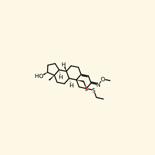 CCSSC[C@]12CC/C(=N/OC)C=C1CC[C@@H]1[C@@H]2CC[C@]2(C)[C@@H](O)CC[C@@H]12